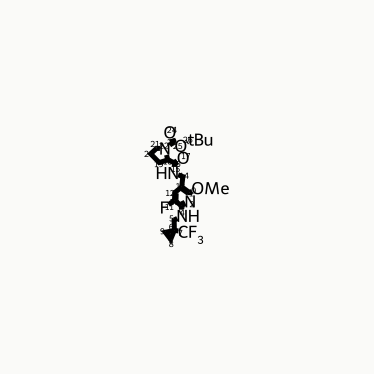 COc1nc(NCC2(C(F)(F)F)CC2)c(F)cc1CNC(=O)C1CCCN1C(=O)OC(C)(C)C